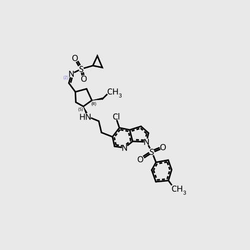 CC[C@@H]1CC(/C=N\S(=O)(=O)C2CC2)C[C@@H]1NCCc1cnc2c(ccn2S(=O)(=O)c2ccc(C)cc2)c1Cl